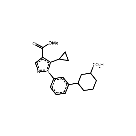 COC(=O)c1cnn(-c2cccc(C3CCCC(C(=O)O)C3)c2)c1C1CC1